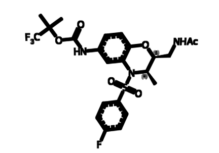 CC(=O)NC[C@@H]1Oc2ccc(NC(=O)OC(C)(C)C(F)(F)F)cc2N(S(=O)(=O)c2ccc(F)cc2)[C@@H]1C